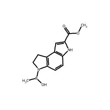 COC(=O)c1cc2c3c(ccc2[nH]1)N(B(C)O)CC3